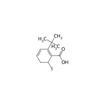 CC(C)(C)C1=C(C(=O)O)C(I)CC=C1